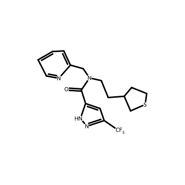 O=C(c1cc(C(F)(F)F)n[nH]1)N(CCC1CCSC1)Cc1ccccn1